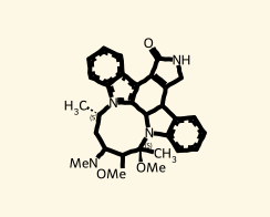 CNC1C[C@H](C)n2c3c(c4ccccc42)C2=C(CNC2=O)C2c4ccccc4N(C32)[C@@](C)(OC)C1OC